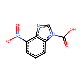 O=C(O)n1cnc2c([N+](=O)[O-])cccc21